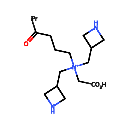 CC(C)C(=O)CCC[N+](CC(=O)O)(CC1CNC1)CC1CNC1